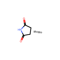 O=C1CCC(=O)N1.[Mo].[Mo]